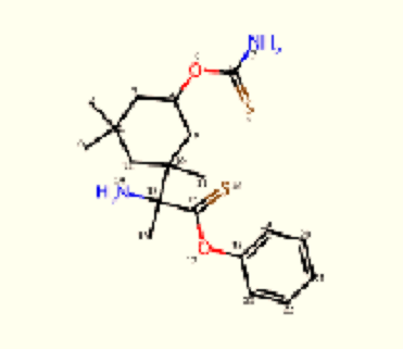 CC1(C)CC(OC(N)=S)CC(C)(C(C)(N)C(=S)Oc2ccccc2)C1